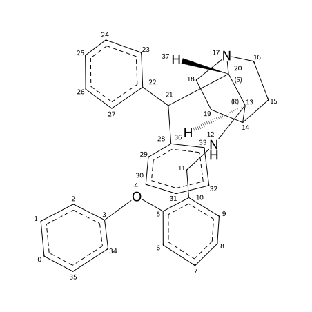 c1ccc(Oc2ccccc2CN[C@@H]2C3CCN(CC3)[C@H]2C(c2ccccc2)c2ccccc2)cc1